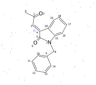 CC(=O)/C=C1/C(=O)N(Cc2ccccc2)c2ccccc21